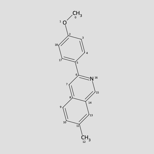 COc1ccc(-c2cc3ccc(C)cc3cn2)cc1